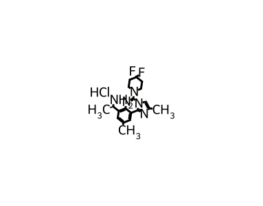 Cc1cc([C@@H](C)N)c2nc(N3CCC(F)(F)CC3)n3cc(C)nc3c2c1.Cl